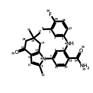 Cc1cc(Nc2cc(-n3c(C)cc4c3CC(C)(C)CC4=O)ccc2C(N)=O)ccc1F